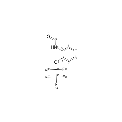 O=[C]Nc1ccccc1OC(F)(F)C(F)(F)F